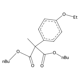 CCCCOC(=O)C(C)(C(=O)OCCCC)c1ccc(OCC)cc1